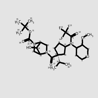 COC1COCCC1N(C(=O)C(F)(F)F)C1CC[C@@](C(=O)N2CC3C(O)C2CN3C(=O)OC(C)(C)C)(C(C)C)C1